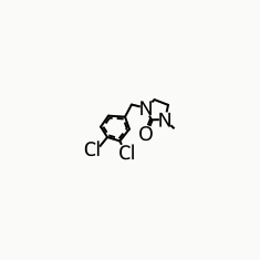 CN1CCN(Cc2ccc(Cl)c(Cl)c2)C1=O